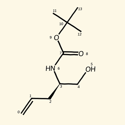 C=CC[C@H](CO)NC(=O)OC(C)(C)C